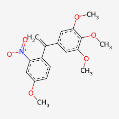 C=C(c1cc(OC)c(OC)c(OC)c1)c1ccc(OC)cc1[N+](=O)[O-]